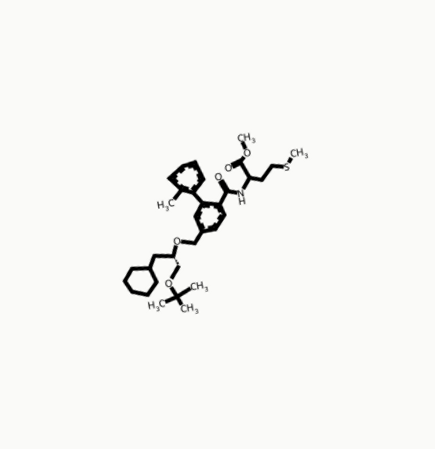 COC(=O)C(CCSC)NC(=O)c1ccc(CO[C@H](COC(C)(C)C)CC2CCCCC2)cc1-c1ccccc1C